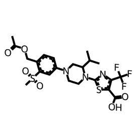 CC(=O)OCc1ccc(N2CCN(c3nc(C(F)(F)F)c(C(=O)O)s3)C(C(C)C)C2)cc1S(C)(=O)=O